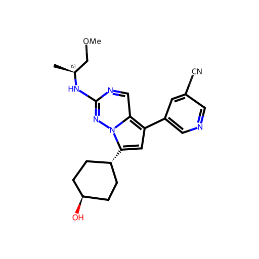 COC[C@H](C)Nc1ncc2c(-c3cncc(C#N)c3)cc([C@H]3CC[C@H](O)CC3)n2n1